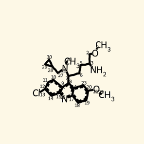 COCC(N)CCC(c1c2ccc(Cl)cc2nc2ccc(OC)cc12)N(C)CC1CC1